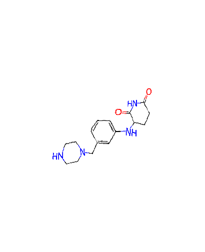 O=C1CCC(Nc2cccc(CN3CCNCC3)c2)C(=O)N1